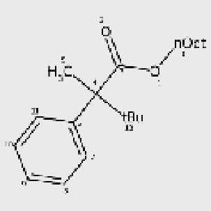 CCCCCCCCOC(=O)C(C)(c1ccccc1)C(C)(C)C